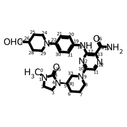 CN1CCN([C@@H]2CCCN(c3cnc(C(N)=O)c(Nc4ccc(N5CCC(C=O)CC5)cc4)n3)C2)C1=O